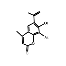 C=C(C)c1cc2c(C)cc(=O)oc2c(C(C)=O)c1O